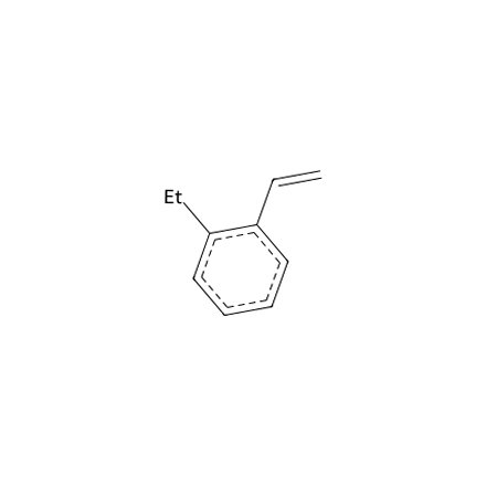 C=Cc1ccccc1CC